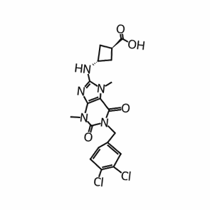 Cn1c(N[C@H]2C[C@H](C(=O)O)C2)nc2c1c(=O)n(Cc1ccc(Cl)c(Cl)c1)c(=O)n2C